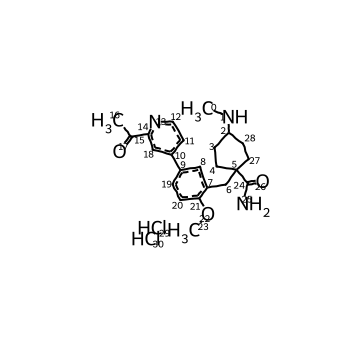 CNC1CCC(Cc2cc(-c3ccnc(C(C)=O)c3)ccc2OC)(C(N)=O)CC1.Cl.Cl